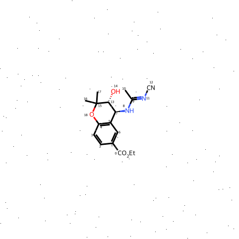 CCOC(=O)c1ccc2c(c1)[C@H](N/C(C)=N/C#N)[C@@H](O)C(C)(C)O2